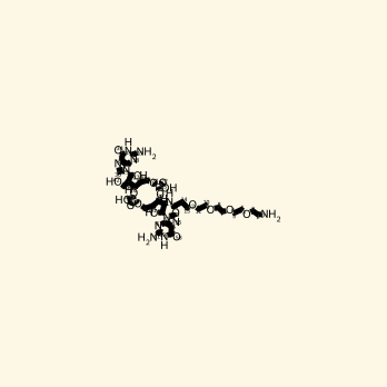 NCCOCCOCCOCCOCCC(=O)NC1[C@H]2OP(=O)(O)OC[C@H]3O[C@@H](n4cnc5c(=O)[nH]c(N)nc54)C(CO)[C@H]3OP(=O)(O)OC[C@H]2O[C@H]1n1cnc2c(=O)[nH]c(N)nc21